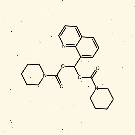 O=C(OC(OC(=O)N1CCCCC1)c1cccc2cccnc12)N1CCCCC1